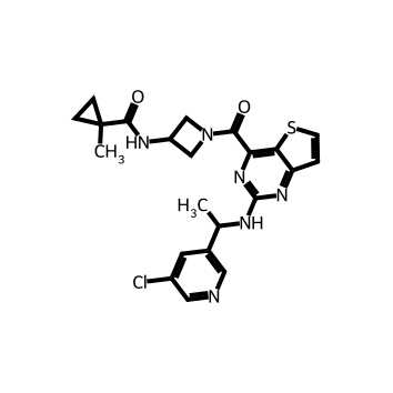 CC(Nc1nc(C(=O)N2CC(NC(=O)C3(C)CC3)C2)c2sccc2n1)c1cncc(Cl)c1